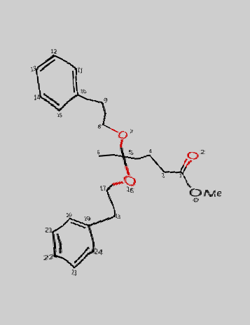 COC(=O)CCC(C)(OCCc1ccccc1)OCCc1ccccc1